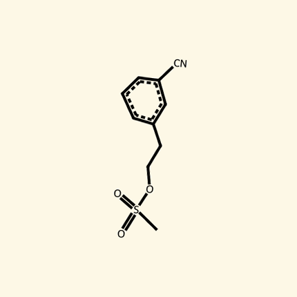 CS(=O)(=O)OCCc1cccc(C#N)c1